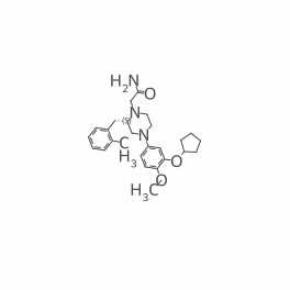 COc1ccc(N2CCN(CC(N)=O)[C@@H](Cc3ccccc3C)C2)cc1OC1CCCC1